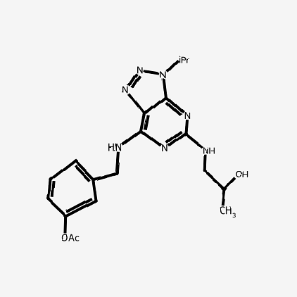 CC(=O)Oc1cccc(CNc2nc(NCC(C)O)nc3c2nnn3C(C)C)c1